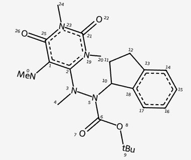 CNc1c(N(C)N(C(=O)OC(C)(C)C)C2CCc3ccccc32)n(C)c(=O)n(C)c1=O